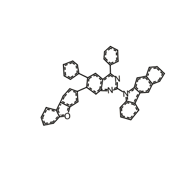 c1ccc(-c2cc3c(-c4ccccc4)nc(-n4c5ccccc5c5cc6ccccc6cc54)nc3cc2-c2ccc3c(c2)oc2ccccc23)cc1